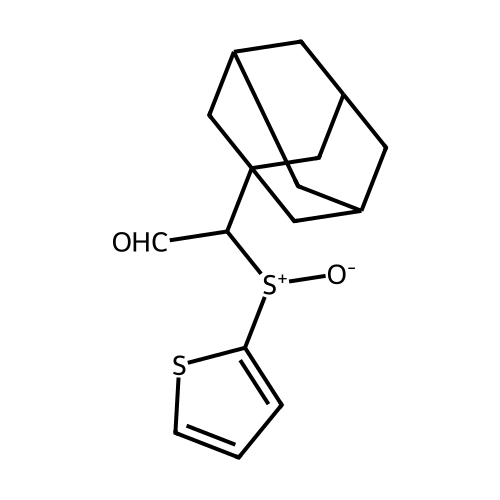 O=CC([S+]([O-])c1cccs1)C12CC3CC(CC(C3)C1)C2